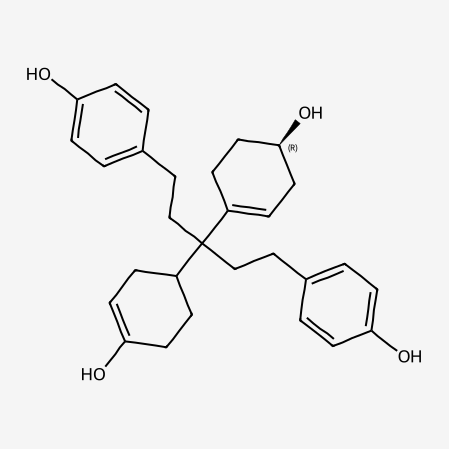 OC1=CCC(C(CCc2ccc(O)cc2)(CCc2ccc(O)cc2)C2=CC[C@H](O)CC2)CC1